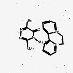 CSc1nnc(C(C)(C)C)c(=O)n1N.c1cc[n+]2c(c1)-c1cccc[n+]1CC2